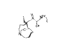 CC1(NC(N)=O)CCN2CCC1CC2